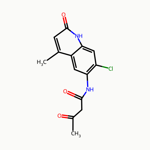 CC(=O)CC(=O)Nc1cc2c(C)cc(=O)[nH]c2cc1Cl